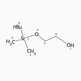 CCCC[Si](C)(C)OCCO